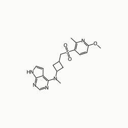 COc1ccc(S(=O)(=O)CC2CC(N(C)c3ncnc4[nH]ccc34)C2)c(C)n1